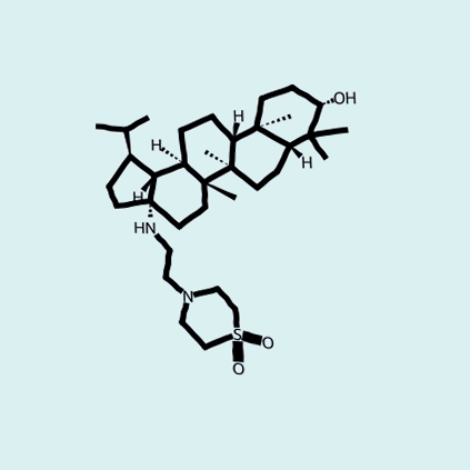 CC(C)[C@@H]1CC[C@]2(NCCN3CCS(=O)(=O)CC3)CC[C@]3(C)[C@H](CC[C@@H]4[C@@]5(C)CC[C@H](O)C(C)(C)[C@@H]5CC[C@]43C)[C@@H]12